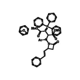 COC(=O)C(C(C(=O)OC)N(C(C)=O)N1C(=O)CC1C=Cc1ccccc1)=P(c1ccccc1)(c1ccccc1)c1ccccc1.c1cc2cc(c1)O2